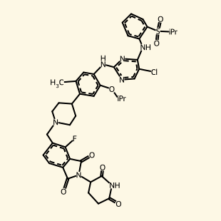 Cc1cc(Nc2ncc(Cl)c(Nc3ccccc3S(=O)(=O)C(C)C)n2)c(OC(C)C)cc1C1CCN(Cc2ccc3c(c2F)C(=O)N(C2CCC(=O)NC2=O)C3=O)CC1